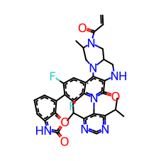 C=CC(=O)N1CC2CNc3c(c4cc(F)c(-c5cccc6[nH]c(=O)oc56)c(F)c4n(-c4c(C(C)C)ncnc4C(C)C)c3=O)N2CC1C